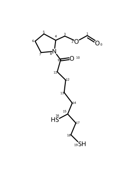 O=COCC1CCCN1C(=O)CCCCC(S)CCS